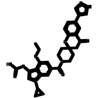 CCOc1cc(C(=O)N2CCC3(CC2)CC(=O)c2cc(-c4cn[nH]c4)ccc2O3)cc2c1c(OC(=O)O)cn2C1CC1